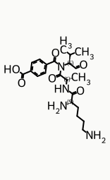 CC(C)[C@@H](C=O)N(C(=O)c1ccc(C(=O)O)cc1)C(=O)[C@H](C)NC(=O)[C@@H](N)CCCCN